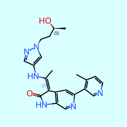 C/C(Nc1cnn(CC[C@H](C)O)c1)=C1/C(=O)Nc2cnc(-c3cnccc3C)cc21